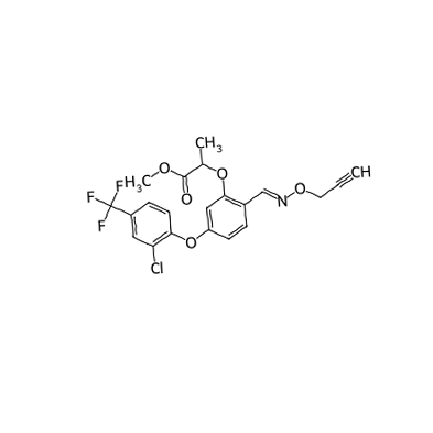 C#CCON=Cc1ccc(Oc2ccc(C(F)(F)F)cc2Cl)cc1OC(C)C(=O)OC